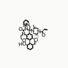 C=CC(=O)N1C[C@H](C)N(C2(Cn3cccn3)NC(=O)N3CCOc4c(-c5c(O)cccc5F)c(Cl)cc2c43)C[C@H]1C